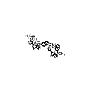 CC(c1ccc2nc(CP(C)(=O)Cn3cc(-c4cnc5nnn(C(C)c6ccc7nccn7c6)c5n4)cn3)ccc2c1)n1nnc2ncc(-c3cnn(CP(C)(C)=O)c3)nc21